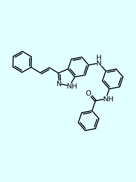 O=C(Nc1cccc(Nc2ccc3c(C=Cc4ccccc4)n[nH]c3c2)c1)c1ccccc1